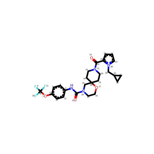 O=C(Nc1ccc(OC(F)(F)F)cc1)N1CCOC2(CCN(C(=O)c3cccn3CC3CC3)CC2)C1